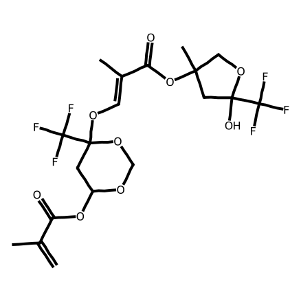 C=C(C)C(=O)OC1CC(O/C=C(\C)C(=O)OC2(C)COC(O)(C(F)(F)F)C2)(C(F)(F)F)OCO1